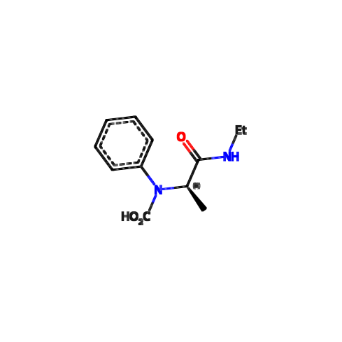 CCNC(=O)[C@@H](C)N(C(=O)O)c1ccccc1